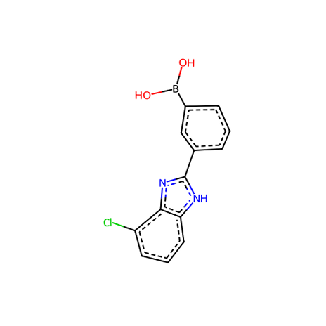 OB(O)c1cccc(-c2nc3c(Cl)cccc3[nH]2)c1